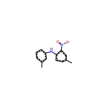 Cc1cccc(Nc2ccc(C)cc2[N+](=O)[O-])c1